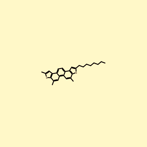 CCCCCCCCc1cc2c(s1)c(C)cc1c2ccc2c3cc(C)sc3c(C)cc21